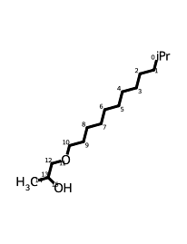 CC(C)CCCCCCCCCCOCC(C)O